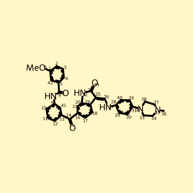 COc1cccc(C(=O)Nc2cccc(C(=O)c3ccc4c(c3)NC(=O)C4=CNc3ccc(N4CCN(C)CC4)cc3)c2)c1